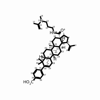 C=C(C)[C@@H]1CC[C@]2(C(=O)NCCCN(C)C(=C)C)CC[C@]3(C)[C@H](CC[C@@H]4[C@@]5(C)CC=C(c6ccc(C(=O)O)cc6)C(C)(C)[C@@H]5CC[C@]43C)[C@@H]12